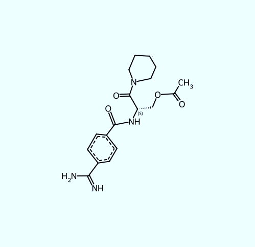 CC(=O)OC[C@H](NC(=O)c1ccc(C(=N)N)cc1)C(=O)N1CC[CH]CC1